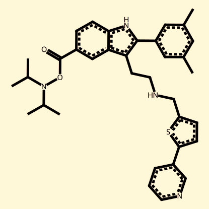 Cc1cc(C)cc(-c2[nH]c3ccc(C(=O)ON(C(C)C)C(C)C)cc3c2CCNCc2ccc(-c3cccnc3)s2)c1